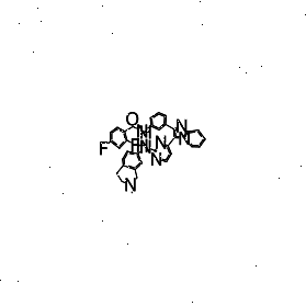 CN1CCc2ccc(Nc3nccc(-c4c(-c5cccc(NC(=O)c6ccc(F)cc6F)c5)nc5ccccn45)n3)cc2C1